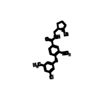 CCN1CCCC1CNC(=O)c1ccc(Sc2cc(C)cc(Cl)c2)c([N+](=O)[O-])c1